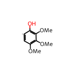 COc1c[c]c(O)c(OC)c1OC